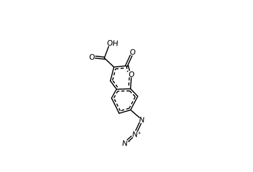 [N-]=[N+]=Nc1ccc2cc(C(=O)O)c(=O)oc2c1